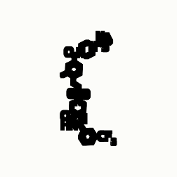 Cc1cc(C(=O)N2CCN(c3nccs3)CC2)ccc1CCS(=O)(=O)N1CCC2(CC1)N=C(c1cccc(C(F)(F)F)c1)NC2=O